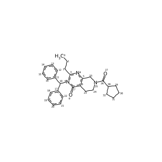 CCCc1nc2c(c(=O)n1C(c1ccccc1)c1ccccc1)CCN(C(=O)C1CCCC1)C2